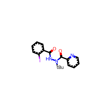 CC(C)(C)N(NC(=O)c1ccccc1I)C(=O)c1ccccn1